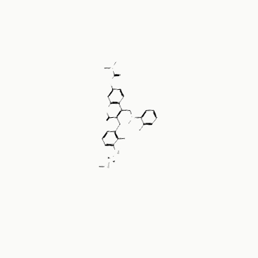 CNS(=O)(=O)Nc1cccc(Cc2c(CN(C)c3ccccc3Cl)c3ccc(OC(=O)N(C)C)cc3oc2=O)c1F